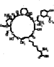 CO[C@@H]1C[C@H](/C=C(\C)[C@H]2OC(=O)[C@@H]3CCCCN3C(=O)C(=O)[C@]3(O)O[C@H]([C@@H](C=O)C[C@@H](O)C/C(C)=C/[C@@H](CCCSC[C@H](N)C(=O)O)C(=O)C[C@H](O)[C@H]2C)[C@@H](C=O)C[C@H]3C)CC[C@H]1O